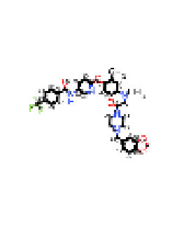 Cc1cc(N(C)CC(=O)N2CCN(Cc3ccc4c(c3)OCO4)CC2)ccc1Oc1ccc(NC(=O)c2ccc(C(F)(F)F)cc2)cn1